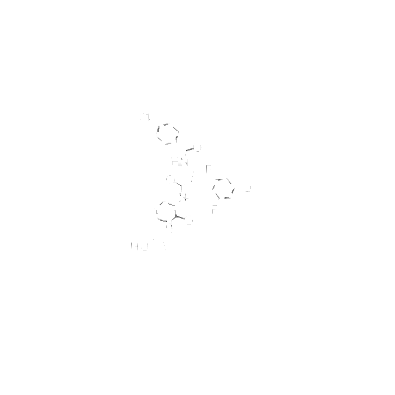 COc1cc(F)c([C@@H]2CN(c3cccn(CC(C)CO)c3=O)C(=O)C2CNC(=O)c2ccc(Cl)cc2)c(F)c1